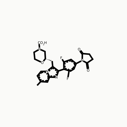 Cc1ccn2c(C[C@H]3CN(C(=O)O)CCO3)c(-c3c(F)cc(N4C(=O)CCC4=O)cc3F)nc2c1